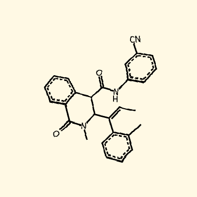 C/C=C(\c1ccccc1C)C1C(C(=O)Nc2cccc(C#N)c2)c2ccccc2C(=O)N1C